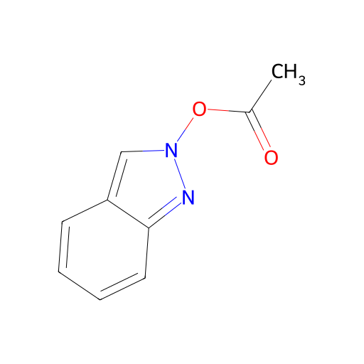 CC(=O)On1cc2ccccc2n1